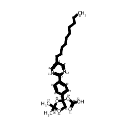 CCCCCCCCCCc1cnc(-c2ccc([C@@]3(OC(=O)O)COC(C)(C)O3)cc2)nc1